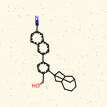 N#Cc1ccc2cc(-c3ccc(CO)c(C45CC6CCCC(C4)C(C6)C5)c3)ccc2c1